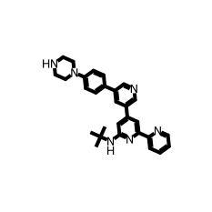 CC(C)(C)Nc1cc(-c2cncc(-c3ccc(N4CCNCC4)cc3)c2)cc(-c2ccccn2)n1